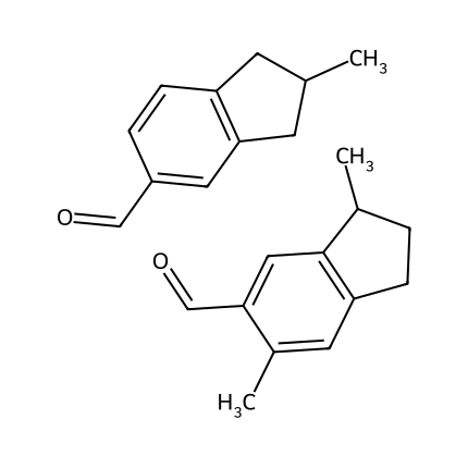 CC1Cc2ccc(C=O)cc2C1.Cc1cc2c(cc1C=O)C(C)CC2